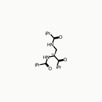 CC(C)C(=O)NC[C@H](NC(=O)C(C)C)C(=O)C(C)C